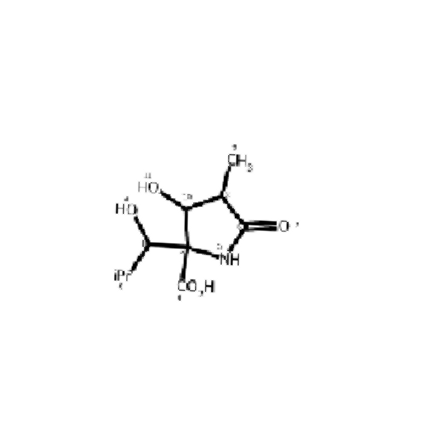 CC(C)C(O)C1(C(=O)O)NC(=O)C(C)C1O